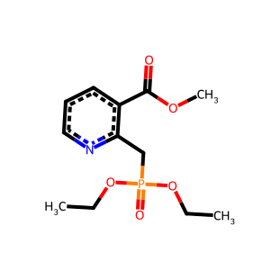 CCOP(=O)(Cc1ncccc1C(=O)OC)OCC